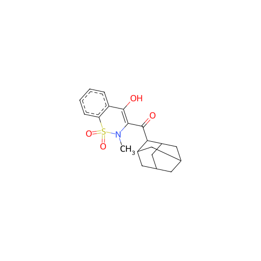 CN1C(C(=O)C2C3CC4CC(C3)CC2C4)=C(O)c2ccccc2S1(=O)=O